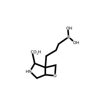 O=C(O)C1NCC2OCC21CCCB(O)O